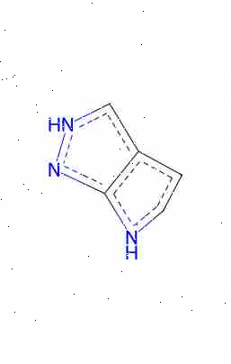 c1cc2c[nH]nc2[nH]1